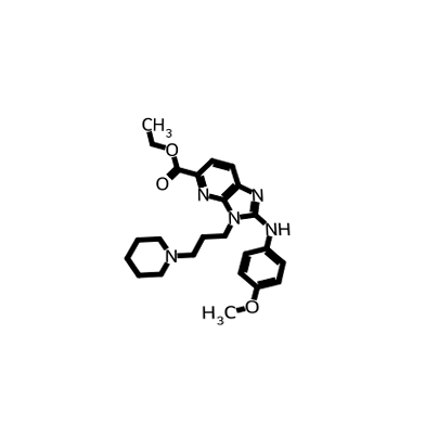 CCOC(=O)c1ccc2nc(Nc3ccc(OC)cc3)n(CCCN3CCCCC3)c2n1